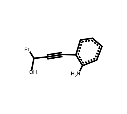 CCC(O)C#Cc1c[c]ccc1N